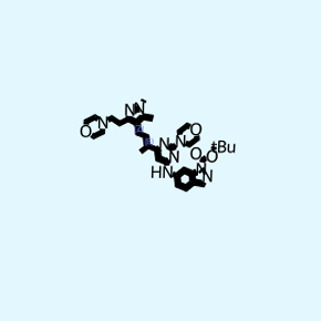 C=c1/c(=C\C=C(/C)c2cc(Nc3ccc4cnn(C(=O)OC(C)(C)C)c4c3)nc(N3CCOCC3)n2)c(CCN2CCOCC2)nn1C